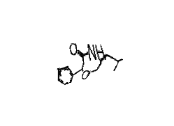 CC(C)CC1COC(c2ccccc2)C(=O)N1